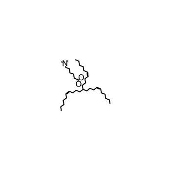 CCCCC/C=C\CCCC(CCC/C=C\CCCCC)C(CC/C=C\CCCCC)OC(=O)CCCCCN(C)C